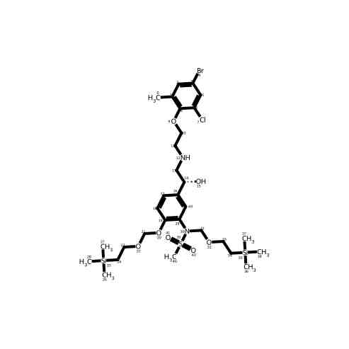 Cc1cc(Br)cc(Cl)c1OCCNC[C@H](O)c1ccc(OCOCC[Si](C)(C)C)c(N(COCC[Si](C)(C)C)S(C)(=O)=O)c1